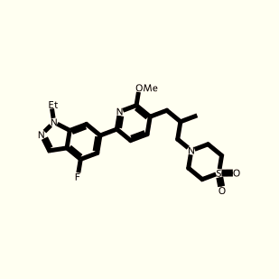 CCn1ncc2c(F)cc(-c3ccc(CC(C)CN4CCS(=O)(=O)CC4)c(OC)n3)cc21